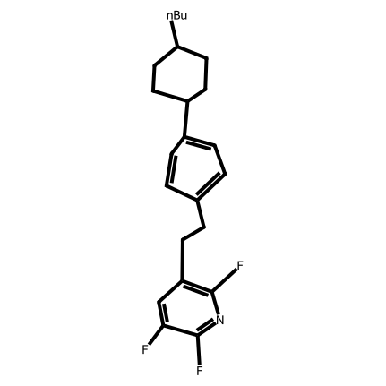 CCCCC1CCC(c2ccc(CCc3cc(F)c(F)nc3F)cc2)CC1